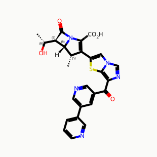 C[C@@H](O)[C@H]1C(=O)N2C(C(=O)O)=C(c3cn4cnc(C(=O)c5cncc(-c6cccnc6)c5)c4s3)[C@H](C)[C@H]12